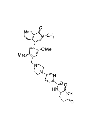 COc1cc(-c2cn(C)c(=O)c3cnccc23)c(OC)cc1CN1CCN(c2ccc(C(=O)NC3CCC(=O)NC3=O)nc2)CC1